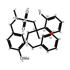 COc1ccc(CN(C)S(=O)(=O)CC(C)(COCc2ccccc2)c2ccccc2F)cc1